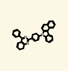 C1=Cc2c(nc(C3=CC=C(n4c5ccccc5c5c6ccccc6ccc54)CC3)nc2-c2ccccc2)CC1